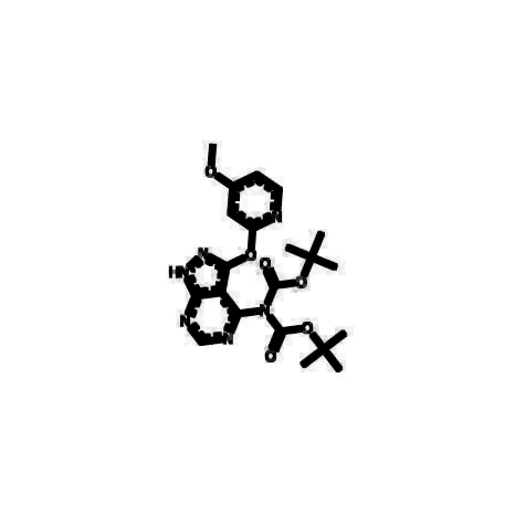 COc1ccnc(Oc2n[nH]c3ncnc(N(C(=O)OC(C)(C)C)C(=O)OC(C)(C)C)c23)c1